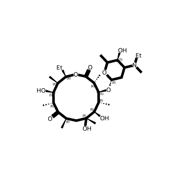 CC[C@H]1OC(=O)[C@H](C)[C@@H](O[C@H]2CC(N(C)CC)[C@H](O)C(C)O2)[C@H](C)[C@@H](O)[C@](C)(O)C[C@@H](C)C(=O)[C@H](C)[C@@H](O)[C@H]1C